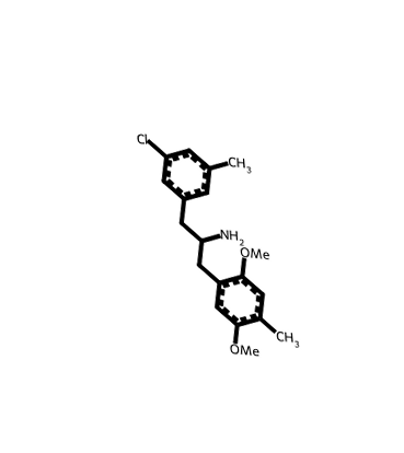 COc1cc(CC(N)Cc2cc(C)cc(Cl)c2)c(OC)cc1C